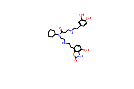 O=C(CCNCCc1ccc(O)c(O)c1)N(CCNCCc1ccc(O)c2[nH]c(=O)sc12)C1CCCCC1